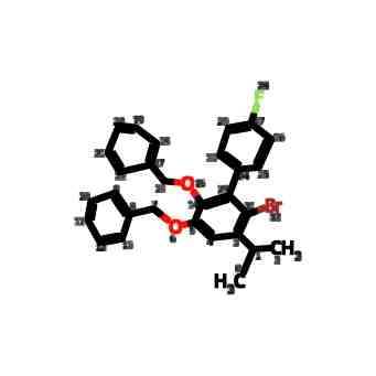 CC(C)c1cc(OCc2ccccc2)c(OCc2ccccc2)c(-c2ccc(F)cc2)c1Br